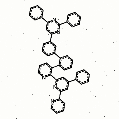 c1ccc(-c2cc(-c3ccccn3)nc(-c3ncccc3-c3ccccc3-c3cccc(-c4cc(-c5ccccc5)nc(-c5ccccc5)n4)c3)c2)cc1